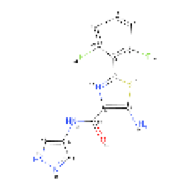 Nc1sc(-c2c(F)cccc2F)nc1C(=O)Nc1cn[nH]c1